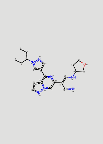 CCC(CC)n1cc(-c2nc(/C(C=N)=C/NC3CCOC3)cn3nccc23)cn1